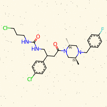 C[C@@H]1CN(Cc2ccc(F)cc2)[C@@H](C)CN1C(=O)CC(CNC(=O)NCCCCl)c1ccc(Cl)cc1